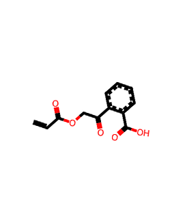 C=CC(=O)OCC(=O)c1ccccc1C(=O)O